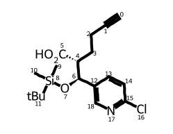 C#CCC[C@@H](C(=O)O)[C@H](O[Si](C)(C)C(C)(C)C)c1ccc(Cl)nc1